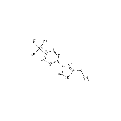 CCc1nc(-c2ccc(C(F)(F)F)cc2)ns1